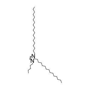 CCCCCCCCCCCCCCCCCCCN1C=CN(CCCCC)C1CCCCCCCCCCCCCC